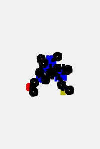 BC(=C)/C(=C(B)\C(=C(/B)n1c2ccccc2c2ccc3c(c4ccccc4n3-c3ccc4oc5ccccc5c4c3)c21)c1nc(-c2ccccc2)nc(-c2ccccc2)n1)c1nc(-c2ccccc2)nc(-c2ccc3sc4ccccc4c3c2)n1